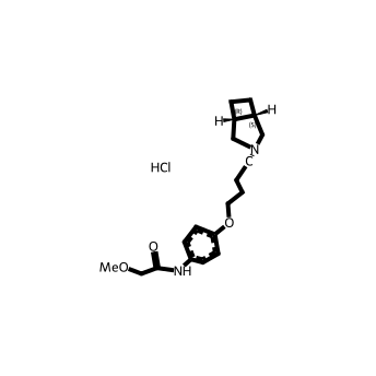 COCC(=O)Nc1ccc(OCCCCN2C[C@H]3CC[C@H]3C2)cc1.Cl